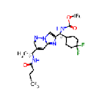 C[C@@H](NC(=O)CCC(F)(F)F)c1cnn2cc([C@@H](NC(=O)OC(C)(C)C)C3CCC(F)(F)CC3)nc2c1